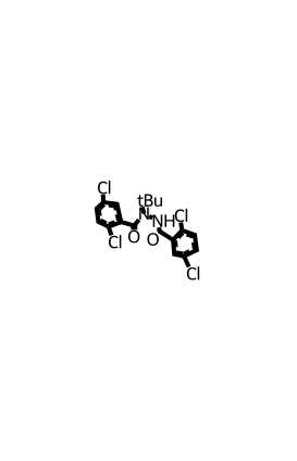 CC(C)(C)N(NC(=O)c1cc(Cl)ccc1Cl)C(=O)c1cc(Cl)ccc1Cl